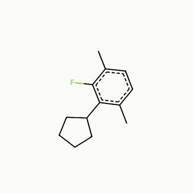 Cc1ccc(C)c(C2CCCC2)c1F